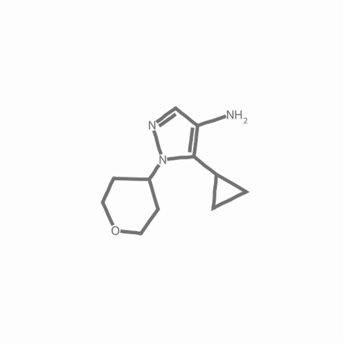 Nc1cnn(C2CCOCC2)c1C1CC1